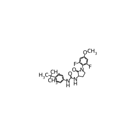 COc1cc(F)c(N2CCC(NC(=O)Nc3ccc(C(C)(C)C)cc3)C2=O)c(F)c1